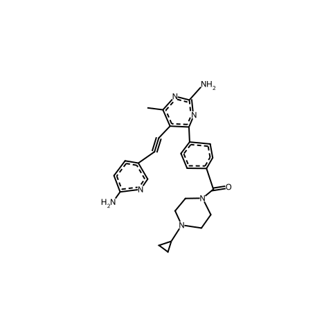 Cc1nc(N)nc(-c2ccc(C(=O)N3CCN(C4CC4)CC3)cc2)c1C#Cc1ccc(N)nc1